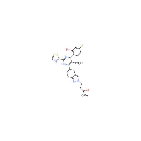 CCOC(=O)C1=C(C2CCc3nn(CCC(=O)OC)cc3C2)NC(c2nccs2)=NC1c1ccc(F)cc1Br